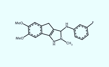 COc1cc2c(cc1OC)C1=C(C2)C(Nc2cccc(F)c2)N(C)N1